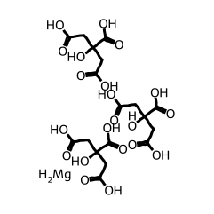 O=C(O)CC(O)(CC(=O)O)C(=O)O.O=C(O)CC(O)(CC(=O)O)C(=O)O.O=C(O)CC(O)(CC(=O)O)C(=O)O.[MgH2]